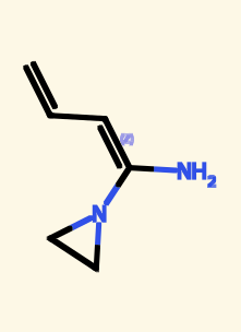 C=C/C=C(/N)N1CC1